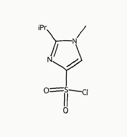 CC(C)c1nc(S(=O)(=O)Cl)cn1C